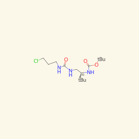 CC(C)(C)OC(=O)N[C@H](CNC(=O)NCCCCl)C(C)(C)C